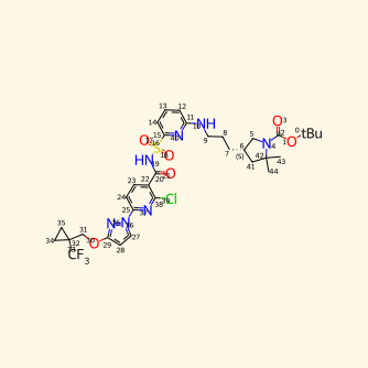 CC(C)(C)OC(=O)N1C[C@@H](CCCNc2cccc(S(=O)(=O)NC(=O)c3ccc(-n4ccc(OCC5(C(F)(F)F)CC5)n4)nc3Cl)n2)CC1(C)C